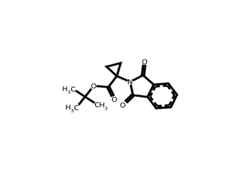 CC(C)(C)OC(=O)C1(N2C(=O)c3ccccc3C2=O)CC1